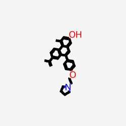 C=C(C)c1ccc2c(c1)c(-c1ccc(OCCN3CCCC3)cc1)cc1cc(O)cc(C)c12